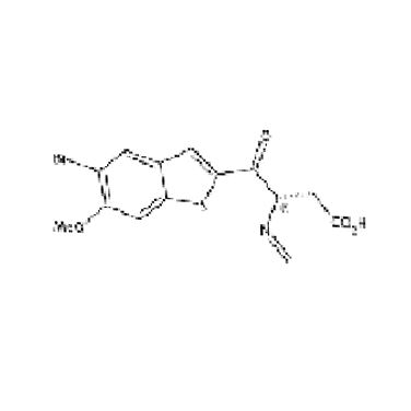 C=N[C@@H](CC(=O)O)C(=O)c1cc2cc(Br)c(OC)cc2s1